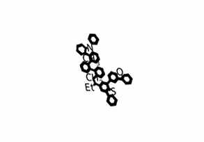 CCC(Cc1ccccc1-c1c(C)cccc1-c1cccc2c1C1(C)C=CC=CC1N2c1ccccc1)c1cc(-c2ccc3oc4ccccc4c3c2)c2sc3ccccc3c2c1